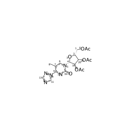 CC(=O)OC[C@H]1O[C@@H](n2cc(C)c(-n3cncn3)nc2=O)C(OC(C)=O)C1OC(C)=O